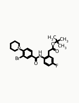 CC(C)(C)OC(=O)Cc1cc(F)ccc1NC(=O)c1ccc(N2CCCCC2)c(Br)c1